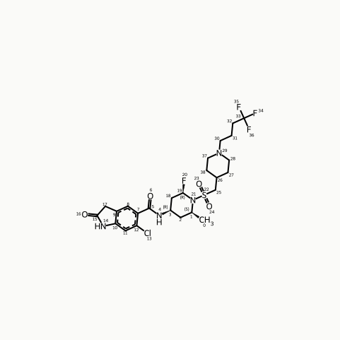 C[C@H]1C[C@@H](NC(=O)c2cc3c(cc2Cl)NC(=O)C3)C[C@@H](F)N1S(=O)(=O)CC1CCN(CCCC(F)(F)F)CC1